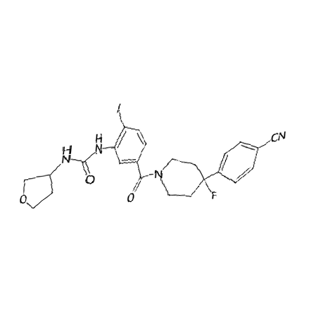 N#Cc1ccc(C2(F)CCN(C(=O)c3ccc(I)c(NC(=O)NC4CCOC4)c3)CC2)cc1